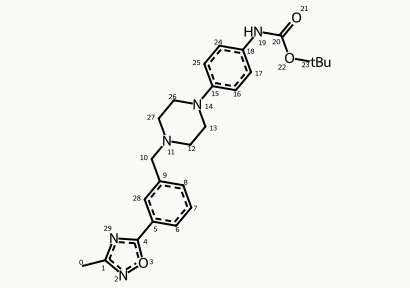 Cc1noc(-c2cccc(CN3CCN(c4ccc(NC(=O)OC(C)(C)C)cc4)CC3)c2)n1